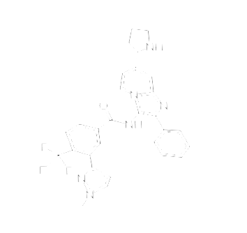 Cn1ccc(-c2cc(C(=O)Nc3c(-c4ccccc4)nc4cc([C@@H]5CCCN5)ccn34)ccc2C(F)(F)F)n1